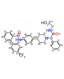 O=C(O)CNC(=O)C(c1ccccc1)N1CCC(c2ccc(NC(=O)c3ccccc3-c3ccc(C(F)(F)F)cc3)cc2)CC1